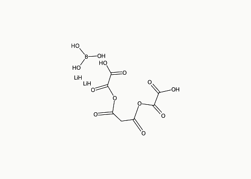 O=C(CC(=O)OC(=O)C(=O)O)OC(=O)C(=O)O.OB(O)O.[LiH].[LiH]